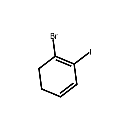 BrC1=C(I)C=CCC1